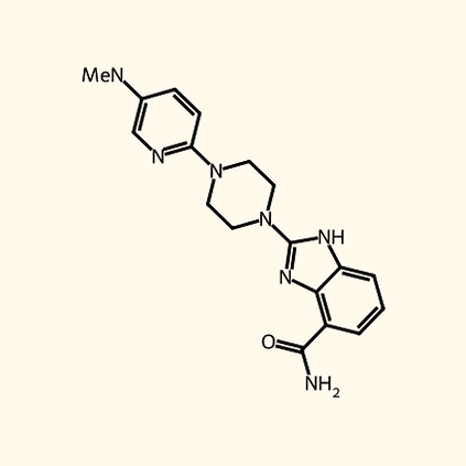 CNc1ccc(N2CCN(c3nc4c(C(N)=O)cccc4[nH]3)CC2)nc1